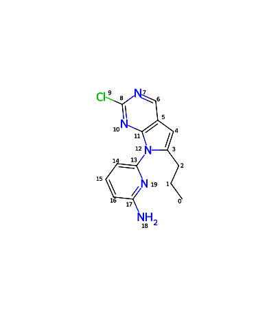 CCCc1cc2cnc(Cl)nc2n1-c1cccc(N)n1